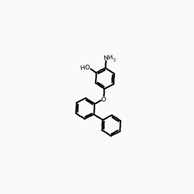 Nc1ccc(Oc2ccccc2-c2ccccc2)cc1O